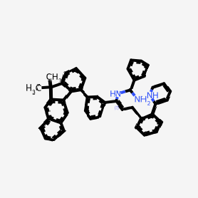 CC1(C)c2cc3ccccc3cc2-c2c(-c3cccc(/C(=C/Cc4ccccc4C4=CC=CCN4)NC(N)c4ccccc4)c3)cccc21